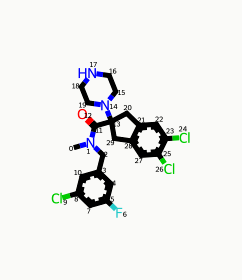 CN(Cc1cc(F)cc(Cl)c1)C(=O)C1(N2CCNCC2)Cc2cc(Cl)c(Cl)cc2C1